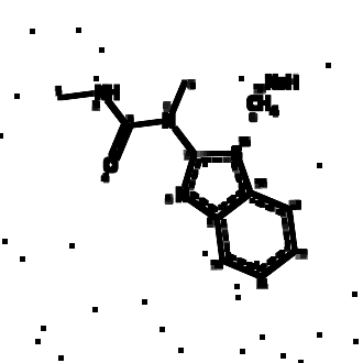 C.CNC(=O)N(C)c1nc2ccccc2s1.[NaH]